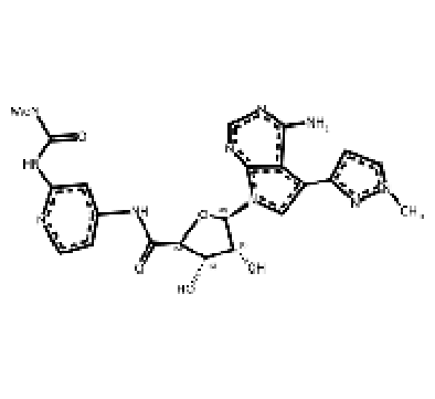 CNC(=O)Nc1cc(NC(=O)[C@H]2O[C@@H](n3cc(-c4ccn(C)n4)c4c(N)ncnc43)[C@H](O)[C@@H]2O)ccn1